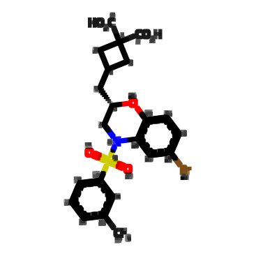 O=C(O)C1(C(=O)O)CC(C[C@H]2CN(S(=O)(=O)c3cccc(C(F)(F)F)c3)c3cc(Br)ccc3O2)C1